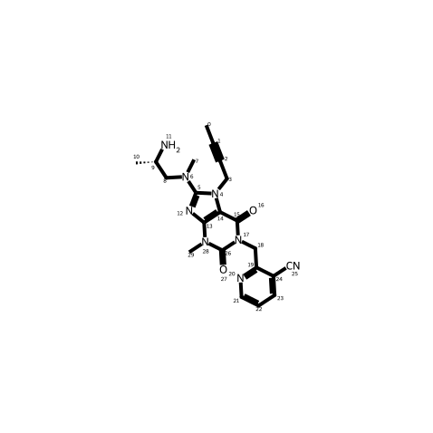 CC#CCn1c(N(C)C[C@H](C)N)nc2c1c(=O)n(Cc1ncccc1C#N)c(=O)n2C